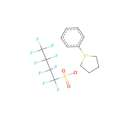 O=S(=O)([O-])C(F)(F)C(F)(F)C(F)(F)C(F)(F)F.c1ccc([S+]2CCCC2)cc1